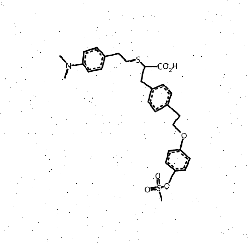 CN(C)c1ccc(CCSC(Cc2ccc(CCOc3ccc(OS(C)(=O)=O)cc3)cc2)C(=O)O)cc1